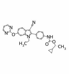 CCn1c(-c2ccc(NC(=O)O[C@H](C)C3CC3)cc2)c(C#N)c2ccc(Oc3ncccn3)cc21